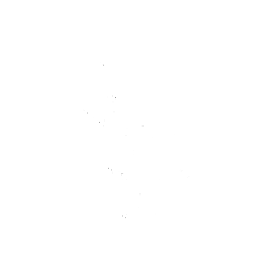 N#CC1=C(N)SC2C1=C(c1c(F)cc3c(c1Cl)OCCC1CNCc4nnc-3n41)C=CC2F